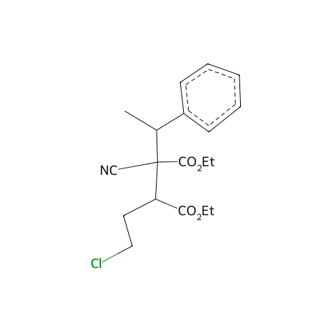 CCOC(=O)C(CCCl)C(C#N)(C(=O)OCC)C(C)c1ccccc1